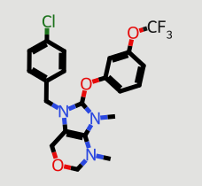 CN1COCC2=C1N(C)C(Oc1cccc(OC(F)(F)F)c1)N2Cc1ccc(Cl)cc1